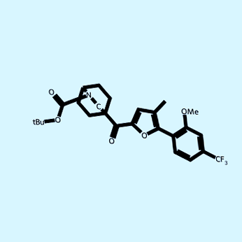 COc1cc(C(F)(F)F)ccc1-c1oc(C(=O)C23CCC(CC2)N(C(=O)OC(C)(C)C)C3)cc1C